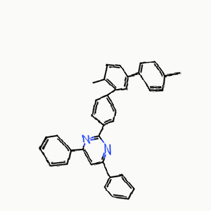 Cc1ccc(-c2ccc(C)c(-c3ccc(-c4nc(-c5ccccc5)cc(-c5ccccc5)n4)cc3)c2)cc1